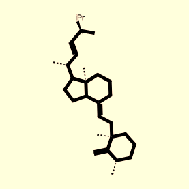 C=C1[C@@H](C)CCC[C@]1(C)C/C=C1\CCC[C@@]2(C)C1CCC2[C@H](C)/C=C/[C@H](C)C(C)C